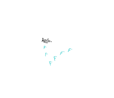 [Am+6].[F-].[F-].[F-].[F-].[F-].[F-]